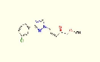 COCC(=O)/C=C\Cn1cnc(-c2cccc(Cl)c2)n1